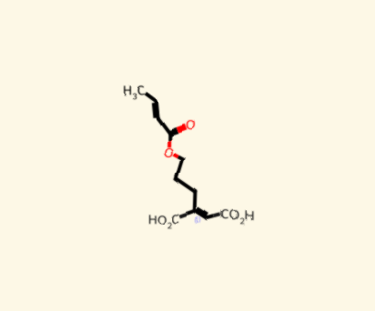 CC=CC(=O)OCCC/C(=C\C(=O)O)C(=O)O